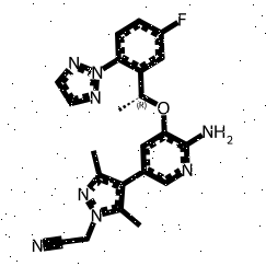 Cc1nn(CC#N)c(C)c1-c1cnc(N)c(O[C@H](C)c2cc(F)ccc2-n2nccn2)c1